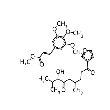 CC(CCC(=O)c1ccoc1)CC(=O)C(O)C(C)C.COC(=O)C=Cc1cc(OC)c(OC)c(OC)c1